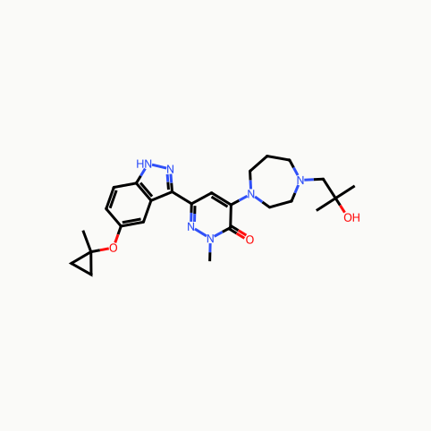 Cn1nc(-c2n[nH]c3ccc(OC4(C)CC4)cc23)cc(N2CCCN(CC(C)(C)O)CC2)c1=O